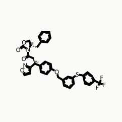 O=C(C[C@@H](c1ccc(OCc2cccc(Sc3ccc(C(F)(F)F)cc3)c2)cc1)c1ccon1)N1C(=O)OC[C@@H]1Cc1ccccc1